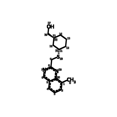 Cc1cccc2cnc(CS[C@H]3CCC[C@H](CO)C3)nc12